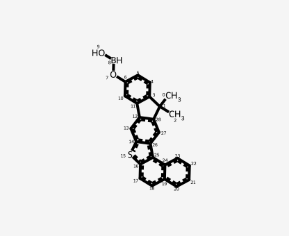 CC1(C)c2ccc(OBO)cc2-c2cc3sc4ccc5ccccc5c4c3cc21